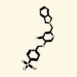 CCS(=N)(=O)c1ccc(COc2coc(CN3Cc4ccccc4C3)cc2=O)cc1